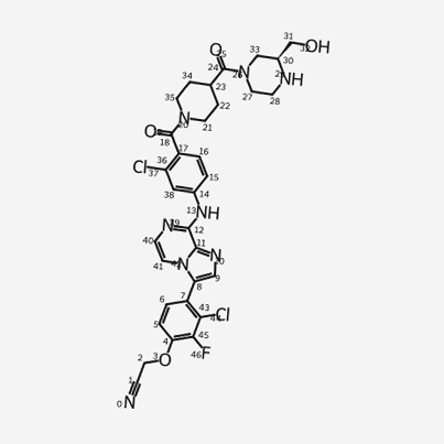 N#CCOc1ccc(-c2cnc3c(Nc4ccc(C(=O)N5CCC(C(=O)N6CCN[C@H](CO)C6)CC5)c(Cl)c4)nccn23)c(Cl)c1F